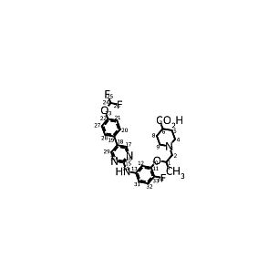 CC(CN1CCC(C(=O)O)CC1)Oc1cc(Nc2ncc(-c3ccc(OC(F)F)cc3)cn2)ccc1F